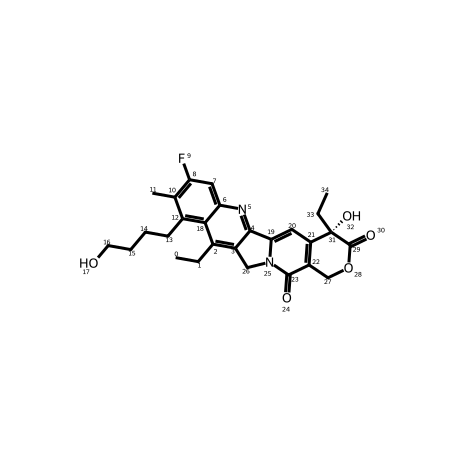 CCc1c2c(nc3cc(F)c(C)c(CCCCO)c13)-c1cc3c(c(=O)n1C2)COC(=O)[C@]3(O)CC